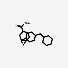 COC(=O)C1CCC2OC2(C2CCC(CC3CCCCC3)CC2)C1